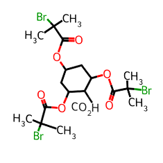 CC(C)(Br)C(=O)OC1CC(OC(=O)C(C)(C)Br)C(C(=O)O)C(OC(=O)C(C)(C)Br)C1